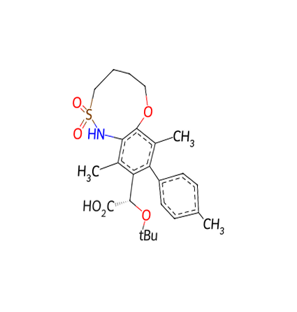 Cc1ccc(-c2c(C)c3c(c(C)c2[C@H](OC(C)(C)C)C(=O)O)NS(=O)(=O)CCCCO3)cc1